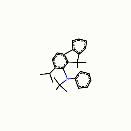 CC(C)c1ccc2c(c1N(c1ccccc1)C(C)(C)C)C(C)(C)c1ccccc1-2